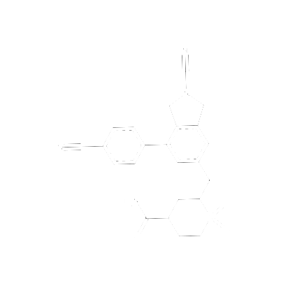 N#Cc1ccc(-c2cc(CC3CC(C(N)=O)CCS3(=O)=O)cc3c2CN(C#N)C3)cc1